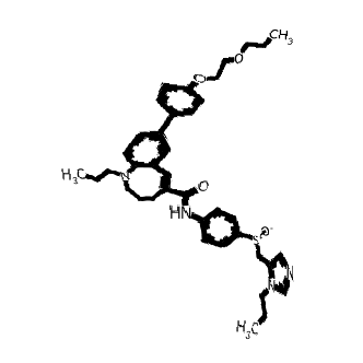 CCCOCCOc1ccc(-c2ccc3c(c2)C=C(C(=O)Nc2ccc([S@@+]([O-])Cc4cncn4CCC)cc2)CCCN3CCC)cc1